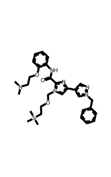 CN(C)CCOc1ccccc1NC(=O)c1nc(-c2cnn(Cc3ccccc3)c2)cn1COCC[Si](C)(C)C